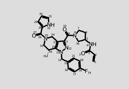 C=CC(=O)NC1CCN(C(=O)c2nn(Cc3ccc(F)cc3)c3c2CN(C(=O)c2ccc[nH]2)C[C@H]3C)C1